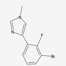 Cn1cnc(-c2cccc(Br)c2F)c1